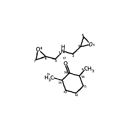 C(NCC1CO1)C1CO1.CC1CCCC(C)C1=O